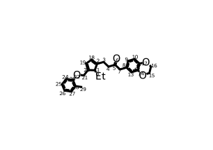 CCC1C(CCC(=O)Cc2ccc3c(c2)OCCO3)=CC=C1COc1ccccc1C